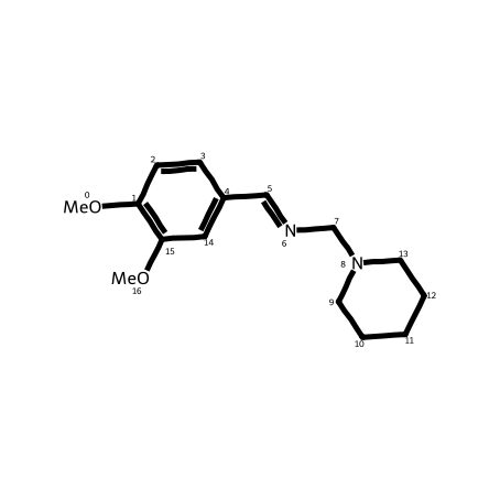 COc1ccc(C=NCN2CCCCC2)cc1OC